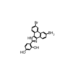 Bc1ccc2c(c1)c1cc(Br)ccc1c1[nH]c(-c3ccc(O)cc3O)nc21